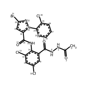 CC(=O)NNC(=O)c1cc(Cl)cc(Cl)c1NC(=O)c1cc(Br)nn1-c1ncccc1Cl